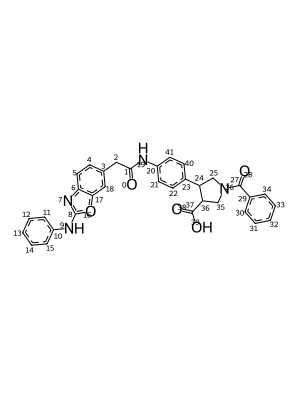 O=C(Cc1ccc2nc(Nc3ccccc3)oc2c1)Nc1ccc(C2CN(C(=O)c3ccccc3)CC2C(=O)O)cc1